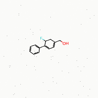 OCC1=CC=C(c2ccccc2)C(F)C1